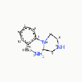 CCCCN.c1ccc(N2CCNCC2)cc1